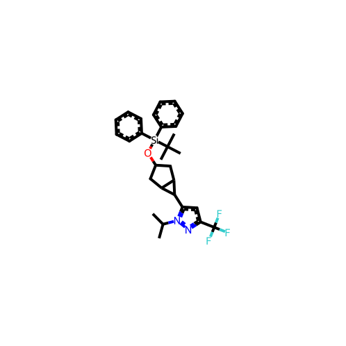 CC(C)n1nc(C(F)(F)F)cc1C1C2CC(O[Si](c3ccccc3)(c3ccccc3)C(C)(C)C)CC21